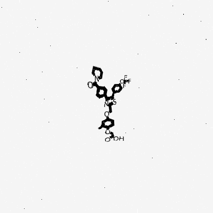 Cc1cc(OCc2nc(-c3ccc(C(=O)N4CCCCC4)cc3)c(-c3ccc(OC(F)(F)F)cc3)s2)ccc1OCC(=O)O